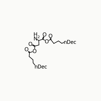 CCCCCCCCCCCCCC(=O)OC(=O)CC(N)C(=O)OC(=O)CCCCCCCCCCCCC